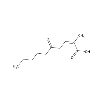 CCCCCC(=O)CC=C(C)C(=O)O